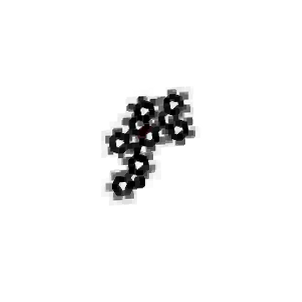 c1ccc(N(c2ccc(-c3cc4ccccc4c4ccccc34)cc2)c2ccc3oc4ccccc4c3c2)c(-c2ccc3ccccc3c2)c1